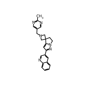 Cc1ncc(CN2CC3(CCn4nc(-c5cnc6ccccc6c5)cc43)C2)cn1